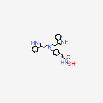 O=C(/C=C/c1ccc(CN(CCc2c[nH]c3ccccc23)CCc2c[nH]c3ccccc23)cc1)NO